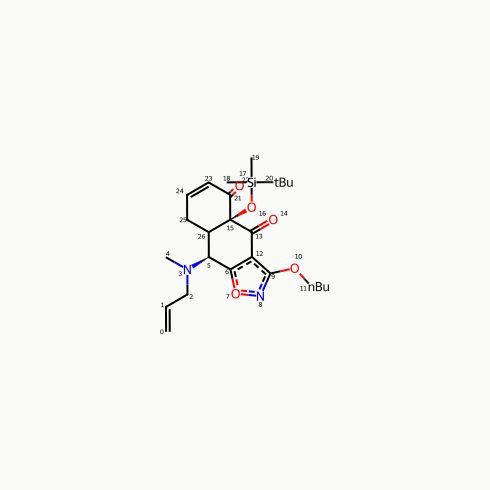 C=CCN(C)[C@@H]1c2onc(OCCCC)c2C(=O)[C@@]2(O[Si](C)(C)C(C)(C)C)C(=O)C=CCC12